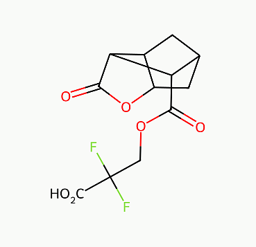 O=C(OCC(F)(F)C(=O)O)C1C2CC3OC(=O)C1C3C2